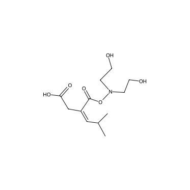 CC(C)C=C(CC(=O)O)C(=O)ON(CCO)CCO